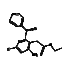 CCOC(=O)Cc1c(N)cc(Cl)nc1C(=O)c1ccccc1